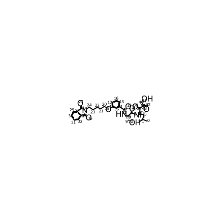 CC(C)C[C@H](NC(=O)[C@H](CO)NC(=O)c1cccc(OCCCCCN2C(=O)c3ccccc3C2=O)c1)C(=O)[C@]1(CO)CO1